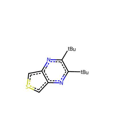 CC(C)(C)c1nc2cscc2nc1C(C)(C)C